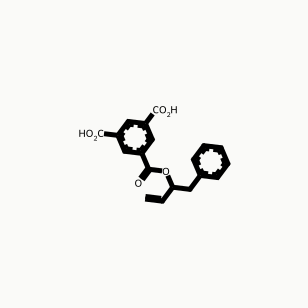 C=CC(Cc1ccccc1)OC(=O)c1cc(C(=O)O)cc(C(=O)O)c1